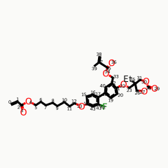 C=CC(=O)OCCCCCCCCOc1ccc(-c2ccc(OCC3(CC)COC(=O)OC3)c(COC(=O)C(=C)C)c2)c(F)c1